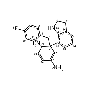 NC1=CC(Cc2ccc(F)cc2)(c2cccc3c2NCC3)C(N)C=C1